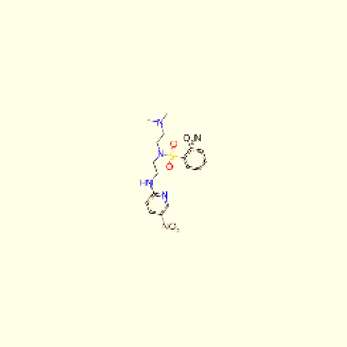 CN(C)CCN(CCNc1ccc([N+](=O)[O-])cn1)S(=O)(=O)c1ccccc1[N+](=O)[O-]